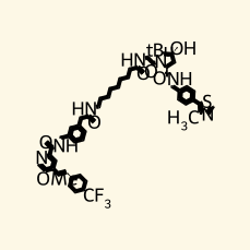 COc1cnc(C(=O)NCc2cccc(CC(=O)NCCCCCCCCC(=O)N[C@H](C(=O)N3C[C@H](O)C[C@H]3C(=O)NCc3ccc(-c4scnc4C)cc3)C(C)(C)C)c2)cc1/C=C/[C@H]1CC[C@H](C(F)(F)F)CC1